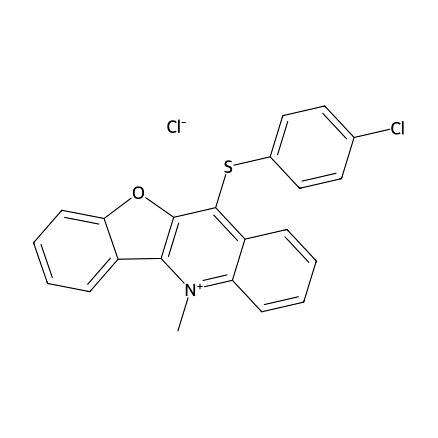 C[n+]1c2ccccc2c(Sc2ccc(Cl)cc2)c2oc3ccccc3c21.[Cl-]